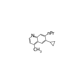 CCCc1cc2nccc(C)c2cc1C1CC1